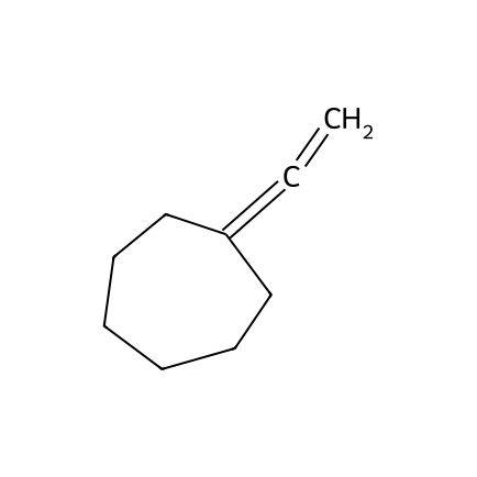 C=C=C1CCCCCC1